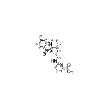 COC(=O)c1cccc(NCCCC2CCCN(c3cc(I)ccc3[N+](=O)[O-])C2)n1